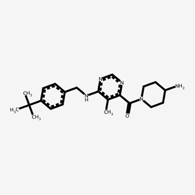 Cc1c(NCc2ccc(C(C)(C)C)cc2)ncnc1C(=O)N1CCC(N)CC1